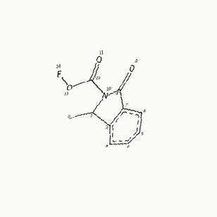 CC1c2ccccc2C(=O)N1C(=O)OF